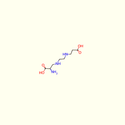 N[C@H](CNCCNCCC(=O)O)C(=O)O